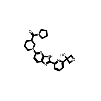 O=C(C1CCCN(c2ccc3nc(-c4cccc(C5(O)COC5)n4)[nH]c3n2)C1)N1CCCC1